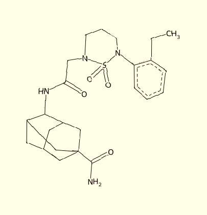 CCc1ccccc1N1CCCN(CC(=O)NC2C3CC4CC2CC(C(N)=O)(C4)C3)S1(=O)=O